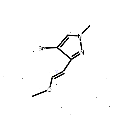 CO/C=C/c1nn(C)cc1Br